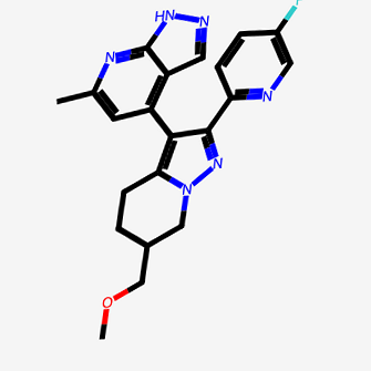 COCC1CCc2c(-c3cc(C)nc4[nH]ncc34)c(-c3ccc(F)cn3)nn2C1